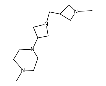 CN1CCN(C2CN(CC3CN(C)C3)C2)CC1